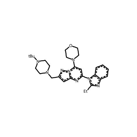 CCc1nc2ccccc2n1-c1cc(N2CCOCC2)n2nc(CN3CCN(C(C)(C)C)CC3)cc2n1